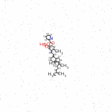 C=C1CC[C@@](OO)(OC(=O)c2ccccn2)C/C1=C/C=C1CCC[C@@]2(C)C1CC[C@@H]2[C@H](C)CCCC(C)C